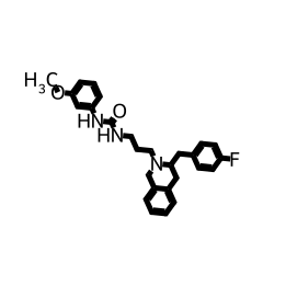 COc1cccc(NC(=O)NCCCN2Cc3ccccc3CC2Cc2ccc(F)cc2)c1